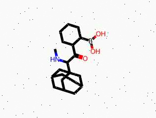 CNC(C(=O)C1CCCCC1B(O)O)C12CC3CC(CC(C3)C1)C2